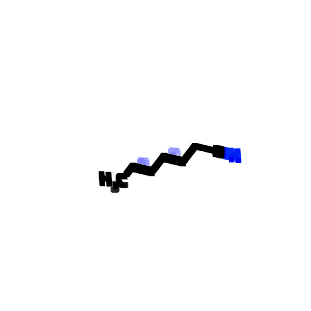 C/C=C/C=C/CC#N